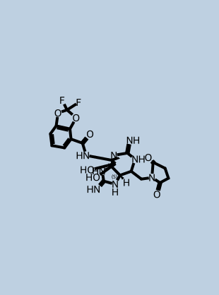 N=C1N[C@H]2C(CN3C(=O)CCC3=O)NC(=N)N3CC(NC(=O)c4cccc5c4OC(F)(F)O5)C(O)(O)[C@]23N1